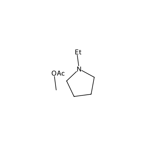 CCN1CCCC1.COC(C)=O